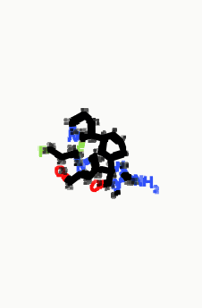 CN1C(=O)C(c2cccc(-c3cccnc3F)c2)(c2cc(C=O)n(CCCF)c2)N=C1N